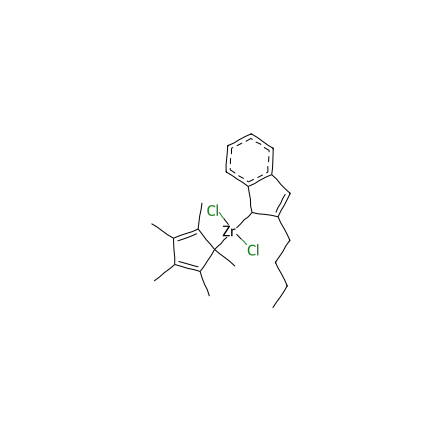 CCCCC1=Cc2ccccc2[CH]1[Zr]([Cl])([Cl])[C]1(C)C(C)=C(C)C(C)=C1C